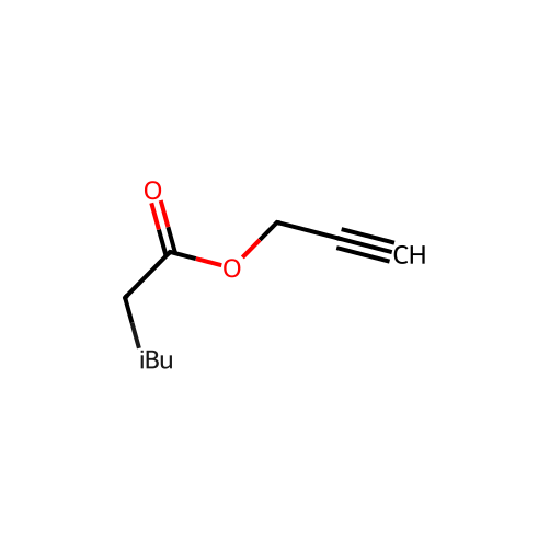 C#CCOC(=O)CC(C)C[CH2]